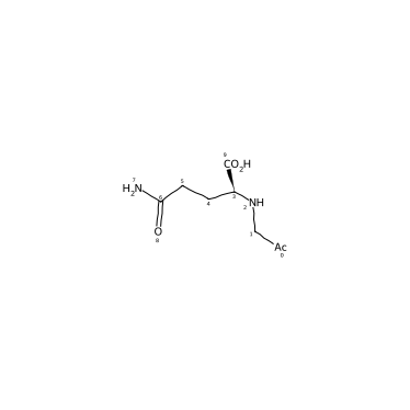 CC(=O)CN[C@@H](CCC(N)=O)C(=O)O